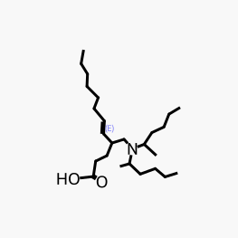 CCCCCC/C=C/C(CCC(=O)O)CN(C(C)CCCC)C(C)CCCC